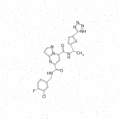 CC(NC(=O)c1cc(C(=O)NCc2ccc(F)c(Cl)c2)nc2ccnn12)c1ccc(-c2nnn[nH]2)s1